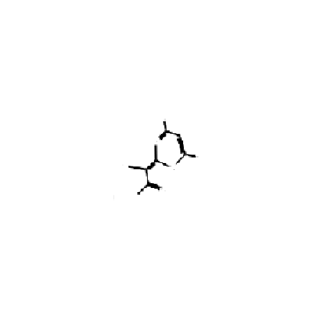 CCOC(=O)C(=N)/C(=C1/N=C(Cl)C=C(Cl)N1)C(C)C